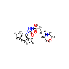 O=C(Nc1c2c(cc3c1CCC3)CCC2)NS(=O)(=O)CCCN1CCOCC1